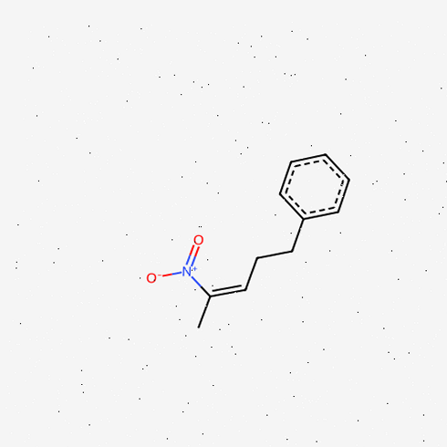 CC(=CCCc1ccccc1)[N+](=O)[O-]